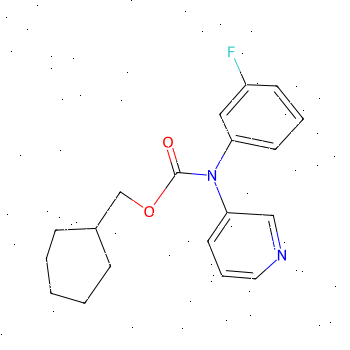 O=C(OCC1CCCCC1)N(c1cccnc1)c1cccc(F)c1